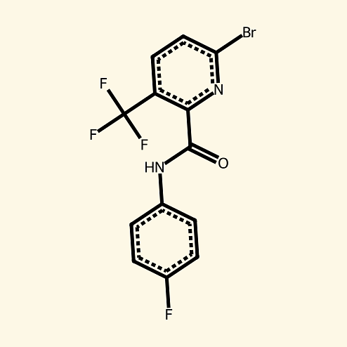 O=C(Nc1ccc(F)cc1)c1nc(Br)ccc1C(F)(F)F